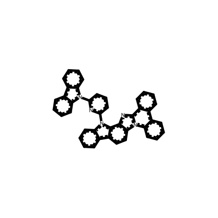 c1cc(-n2c3ccccc3c3ccccc32)nc(-n2c3ccccc3c3ccc4c(nc5c6ccccc6c6ccccc6n45)c32)c1